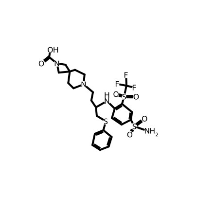 NS(=O)(=O)c1ccc(NC(CCN2CCC3(CC2)CN(C(=O)O)C3)CSc2ccccc2)c(S(=O)(=O)C(F)(F)F)c1